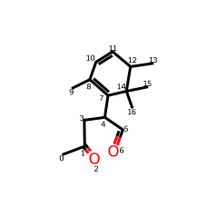 CC(=O)CC(C=O)C1=C(C)C=CC(C)C1(C)C